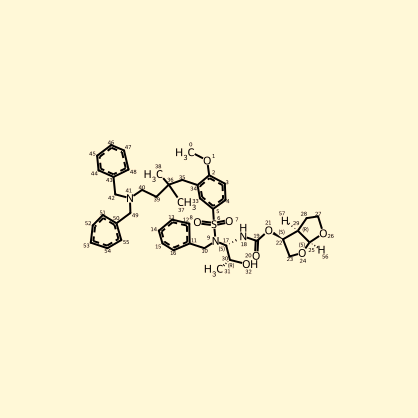 COc1ccc(S(=O)(=O)N(Cc2ccccc2)[C@H](NC(=O)O[C@@H]2CO[C@@H]3OCC[C@@H]32)[C@@H](C)O)cc1CC(C)(C)CCN(Cc1ccccc1)Cc1ccccc1